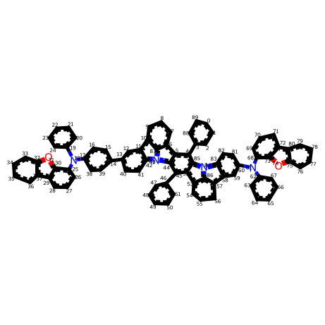 c1ccc(-c2c3c4cccc5c6cc(-c7ccc(N(c8ccccc8)c8cccc9c8oc8ccccc89)cc7)ccc6n(c3c(-c3ccccc3)c3c6cccc7c8cc(N(c9ccccc9)c9cccc%10c9oc9ccccc9%10)ccc8n(c23)c76)c54)cc1